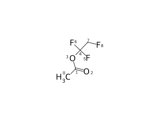 CC(=O)OC(F)(F)CF